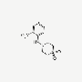 O=[N+]([O-])c1c[c]ccc1NN1CCS(=O)(=O)CC1